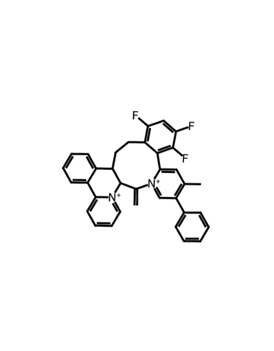 C=C1C2C(CCc3c(F)cc(F)c(F)c3-c3cc(C)c(-c4ccccc4)c[n+]31)c1ccccc1-c1cccc[n+]12